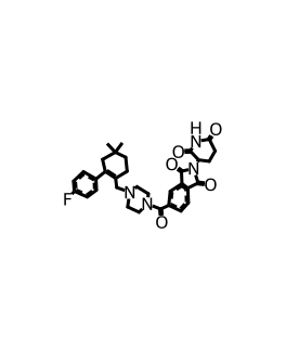 CC1(C)CCC(CN2CCN(C(=O)c3ccc4c(c3)C(=O)N(C3CCC(=O)NC3=O)C4=O)CC2)=C(c2ccc(F)cc2)C1